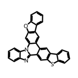 c1ccc2c(c1)nc1c3cc4sc5ccccc5c4cc3c3cc4c(cc3n21)oc1ccccc14